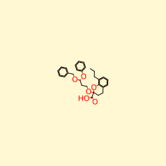 CCCc1cccc2c1OC(OCCC(OCc1ccccc1)Oc1ccccc1)(C(=O)O)CC2